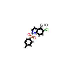 Cc1ccc(S(=O)(=O)n2ccc3c(C=O)c(Cl)ccc32)cc1